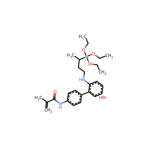 Br.C=C(C)C(=O)Nc1ccc(-c2ccccc2NCCC(C)[Si](OCC)(OCC)OCC)cc1